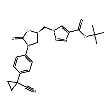 CC(C)(C)OC(=O)c1cn(C[C@H]2CN(c3ccc(C4(C#N)CC4)cc3)C(=O)O2)nn1